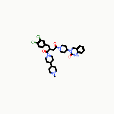 CN1CCC(C2CCN(C(=O)C(CC(=O)N3CCC(N4Cc5ccccc5NC4=O)CC3)Cc3ccc(Cl)c(Cl)c3)CC2)CC1